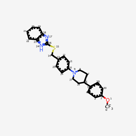 FC(F)(F)Oc1ccc(C2CCN(c3ccc(CSc4nc5ccccc5[nH]4)cc3)CC2)cc1